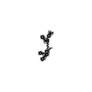 CCCN(CCCCCCN(CCc1ccc(C(=O)OC)cc1)C(=O)OCc1ccccc1)[C@H]1CCc2c(ccc(OCc3ccccc3)c2OCc2ccccc2)C1